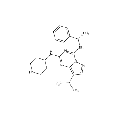 CC(C)c1cnn2c(N[C@@H](C)c3ccccc3)nc(NC3CCNCC3)nc12